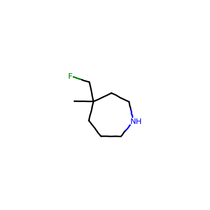 CC1(CF)CCCNCC1